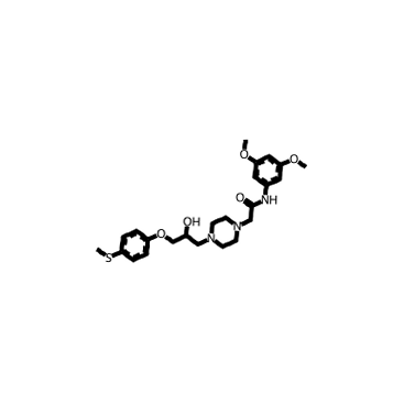 COc1cc(NC(=O)CN2CCN(CC(O)COc3ccc(SC)cc3)CC2)cc(OC)c1